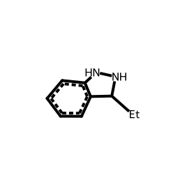 CCC1NNc2ccccc21